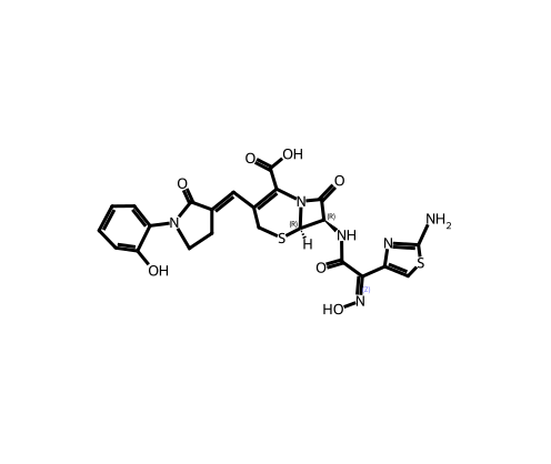 Nc1nc(/C(=N/O)C(=O)N[C@@H]2C(=O)N3C(C(=O)O)=C(C=C4CCN(c5ccccc5O)C4=O)CS[C@H]23)cs1